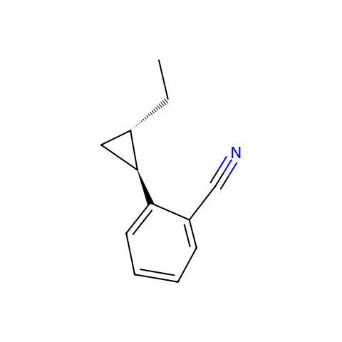 CC[C@H]1C[C@@H]1c1ccccc1C#N